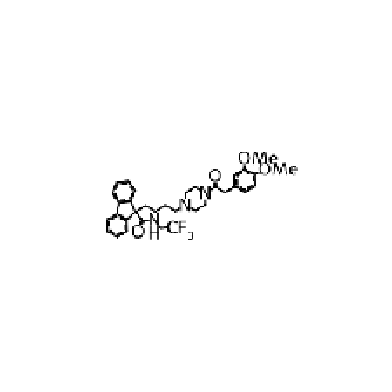 COc1ccc(CC(=O)N2CCN(CCCCC3(C(=O)NCC(F)(F)F)c4ccccc4-c4ccccc43)CC2)cc1OC